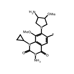 COc1c(N2CC(N)C(OC)C2)c(F)cc2c(=O)n(N)c(=O)n(C3CC3)c12